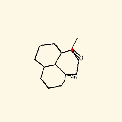 CC(=O)C12CCCC3CCCC(O)(CCC1)C32